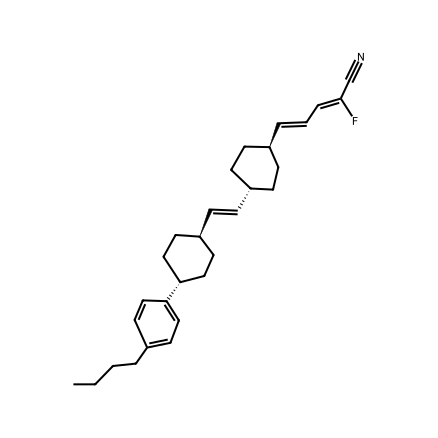 CCCCc1ccc([C@H]2CC[C@H](C=C[C@H]3CC[C@H](C=CC=C(F)C#N)CC3)CC2)cc1